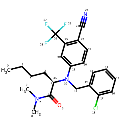 CCCC[C@H](C(=O)N(C)C)N(Cc1ccccc1Cl)c1ccc(C#N)c(C(F)(F)F)c1